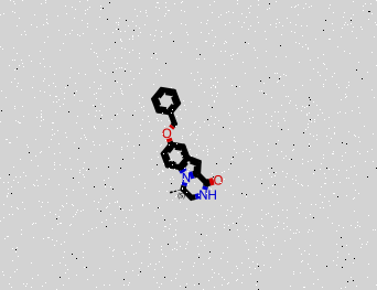 C[C@H]1CNC(=O)c2cc3cc(OCc4ccccc4)ccc3n21